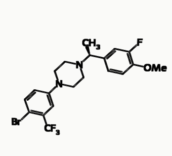 COc1ccc([C@H](C)N2CCN(c3ccc(Br)c(C(F)(F)F)c3)CC2)cc1F